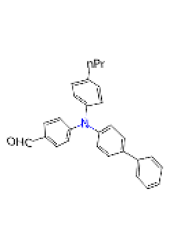 CCCc1ccc(N(c2ccc(C=O)cc2)c2ccc(-c3ccccc3)cc2)cc1